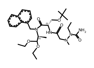 CCOC(OCC)[C@H](C)N(Cc1cccc2ccccc12)C(=O)[C@H](COC(C)(C)C)NC(=O)CN(C)N(CC)C(N)=O